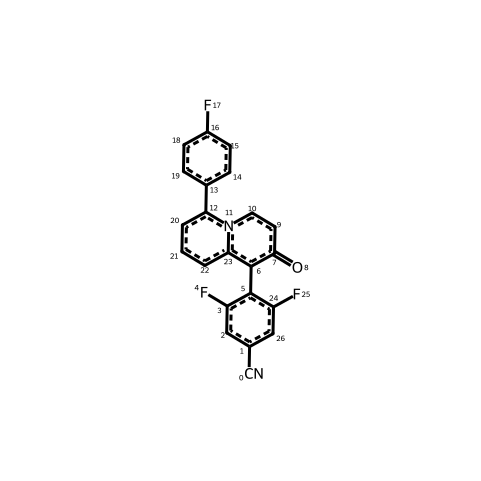 N#Cc1cc(F)c(-c2c(=O)ccn3c(-c4ccc(F)cc4)cccc23)c(F)c1